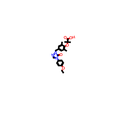 CCOc1ccc(-n2cnn(Cc3cc(C)c(OC(C)(C)C(=O)O)c(C)c3)c2=O)cc1